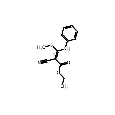 CCOC(=O)/C(C#N)=C(\Nc1ccccc1)SC